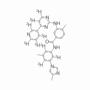 [2H]c1nc(Nc2cc(C(=O)Nc3c([2H])c(C)c([2H])c(-n4cnc(C)c4)c3[2H])ccc2C)nc(-c2c([2H])nc([2H])c([2H])c2[2H])c1[2H]